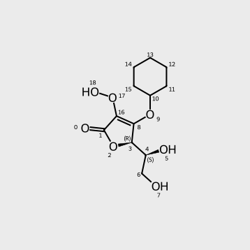 O=C1O[C@H]([C@@H](O)CO)C(OC2CCCCC2)=C1OO